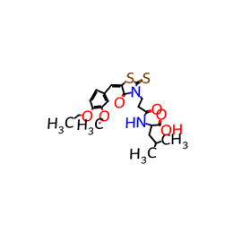 CCOc1ccc(/C=C2/SC(=S)N(CCC(=O)NC(CC(C)C)C(=O)O)C2=O)cc1OC